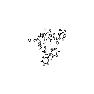 COc1ccc([C@H]2CN(C(=O)[C@@H]3COC(C)(C)O3)C[C@@]2(C)[C@@H](C)O)cc1OC1CN(C(c2ccccc2)c2ccccc2)C1